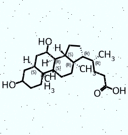 C[C@H](CCC(=O)O)[C@H]1CC[C@H]2[C@@H]3C(O)C[C@@H]4CC(O)CC[C@]4(C)[C@H]3CC[C@]12C